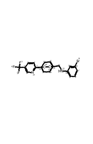 FC(F)(F)c1ccc(C23CCC(CNc4cccc(Br)c4)(CC2)CC3)nc1